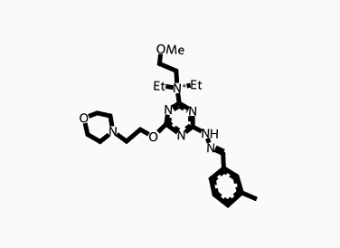 CC[N+](CC)(CCOC)c1nc(NN=Cc2cccc(C)c2)nc(OCCN2CCOCC2)n1